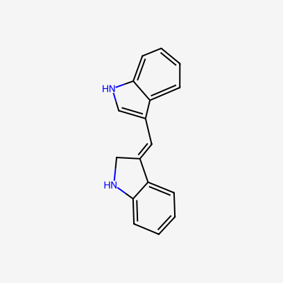 C(=C1CNc2ccccc21)c1c[nH]c2ccccc12